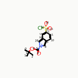 CC(C)(C)OC(=O)n1cc2ccc(S(=O)(=O)Cl)cc2c1